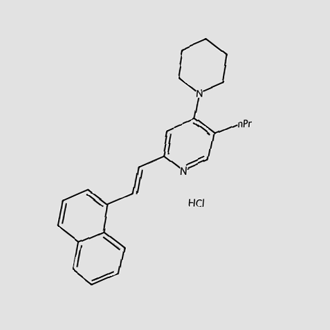 CCCc1cnc(C=Cc2cccc3ccccc23)cc1N1CCCCC1.Cl